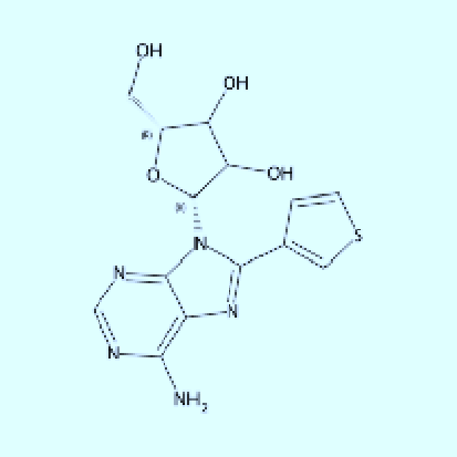 Nc1ncnc2c1nc(-c1ccsc1)n2[C@@H]1O[C@H](CO)C(O)C1O